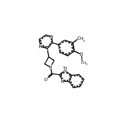 COc1ccc(-c2nccnc2C2CN(C(=O)c3nc4ccccc4[nH]3)C2)cc1C